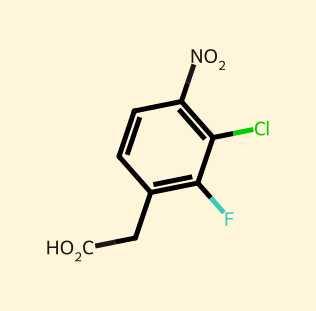 O=C(O)Cc1ccc([N+](=O)[O-])c(Cl)c1F